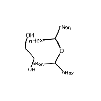 CCCCCCCCCC(CCCCCC)OC(CCCCCC)CCCCCCCCC.OCCO